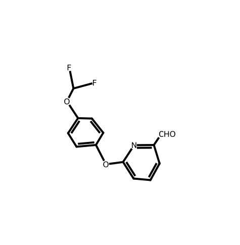 O=Cc1cccc(Oc2ccc(OC(F)F)cc2)n1